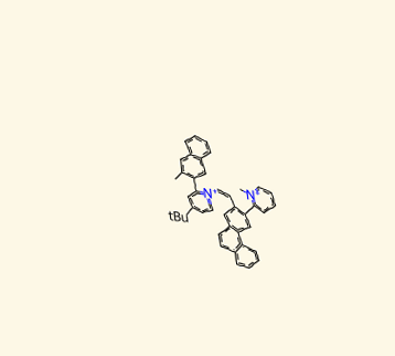 Cc1cc2ccccc2cc1-c1cc(C(C)(C)C)cc[n+]1/C=C\c1cc2ccc3ccccc3c2cc1-c1cccc[n+]1C